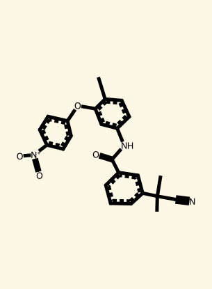 Cc1ccc(NC(=O)c2cccc(C(C)(C)C#N)c2)cc1Oc1ccc([N+](=O)[O-])cc1